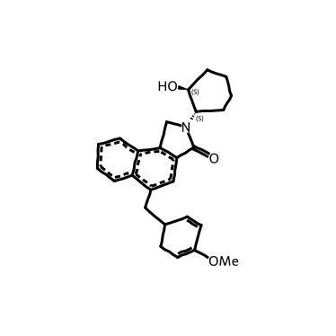 COC1=CCC(Cc2cc3c(c4ccccc24)CN([C@H]2CCCC[C@@H]2O)C3=O)C=C1